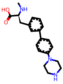 CN[C@@H](Cc1cccc(-c2ccc(N3CCNCC3)cc2)c1)C(=O)O